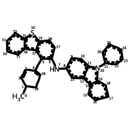 CC1C=CC(c2c(Nc3ccc4c(c3)c3ccccc3n4-c3ccccc3)ccc3sc4ccccc4c23)=CC1